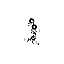 C[C@H]1CN(CC(=O)Nc2ccc(-n3ccccc3=O)cc2F)C[C@@H]1N